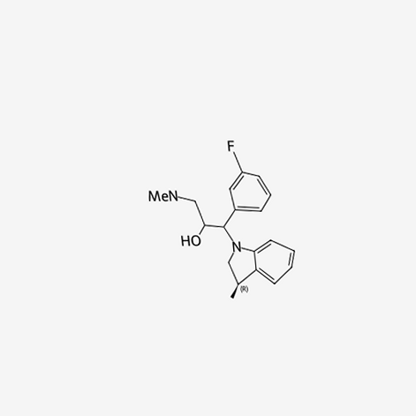 CNCC(O)C(c1cccc(F)c1)N1C[C@H](C)c2ccccc21